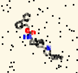 COc1ccc(-c2ccc(C[C@H](NC(=O)OCC3c4ccccc4-c4ccccc43)C(=O)O)cc2)nc1